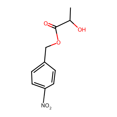 CC(O)C(=O)OCc1ccc([N+](=O)[O-])cc1